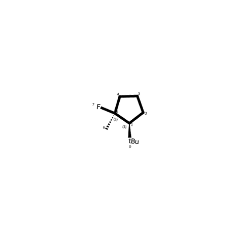 CC(C)(C)[C@@H]1CCC[C@]1(C)F